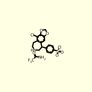 NC(=O)C(F)(F)F.O=S(=O)(Cl)c1ccc(C2CNCCc3c2cc2c(c3Cl)OCO2)cc1